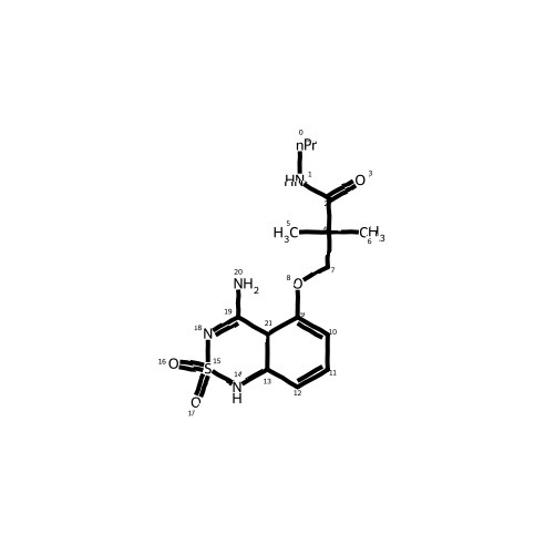 CCCNC(=O)C(C)(C)COC1=CC=CC2NS(=O)(=O)N=C(N)C12